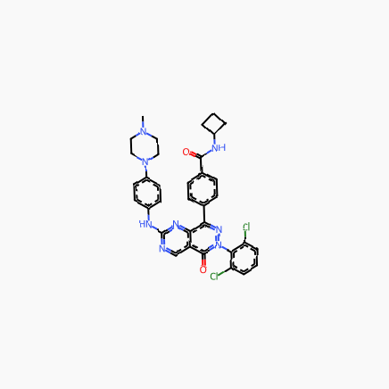 CN1CCN(c2ccc(Nc3ncc4c(=O)n(-c5c(Cl)cccc5Cl)nc(-c5ccc(C(=O)NC6CCC6)cc5)c4n3)cc2)CC1